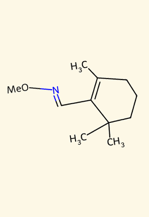 CO/N=C/C1=C(C)CCCC1(C)C